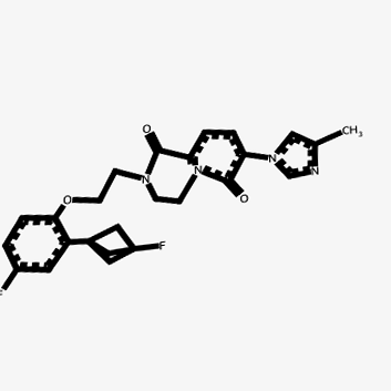 Cc1cn(-c2ccc3n(c2=O)CCN(CCOc2ccc(F)cc2C24CC(F)(C2)C4)C3=O)cn1